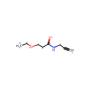 C#CCNC(=O)CCOCC